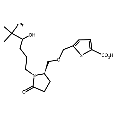 CCCC(C)(C)C(O)CCCN1C(=O)CC[C@@H]1COCc1ccc(C(=O)O)s1